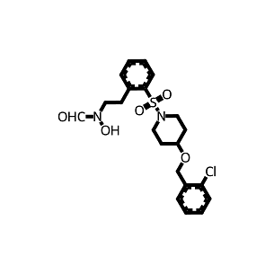 O=CN(O)CCc1ccccc1S(=O)(=O)N1CCC(OCc2ccccc2Cl)CC1